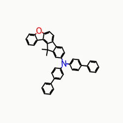 CC1(C)c2cc(N(c3ccc(-c4ccccc4)cc3)c3ccc(-c4ccccc4)cc3)ccc2-c2ccc3oc4ccccc4c3c21